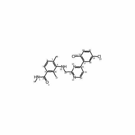 CNC(=O)c1ccc(C)c(NCc2nccc(-c3cc(Cl)ccc3Cl)n2)c1C